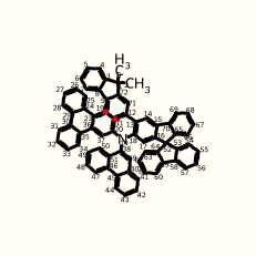 CC1(C)c2ccccc2-c2ccc(-c3cc4c(cc3N(c3ccc5c6ccccc6c6ccccc6c5c3)c3cc5ccccc5c5ccccc35)C3(c5ccccc5-c5ccccc53)c3ccccc3-4)cc21